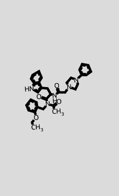 CCOc1ccccc1CN(C(C)=O)C(=O)C(Cc1c[nH]c2ccccc12)NC(=O)CN1CCN(c2ccccc2)CC1